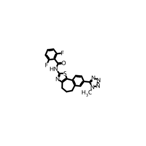 Cn1nnnc1-c1ccc2c(c1)CCCc1nc(NC(=O)c3c(F)cccc3F)sc1-2